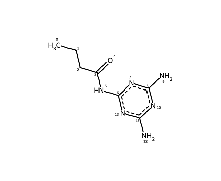 CCCC(=O)Nc1nc(N)nc(N)n1